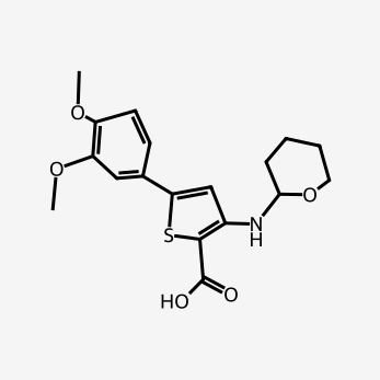 COc1ccc(-c2cc(NC3CCCCO3)c(C(=O)O)s2)cc1OC